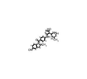 CC(CO)NC(=N)c1c(O)nsc1Nc1ccc(C(=O)N2c3ccc(N=O)cc3CC2C)cc1